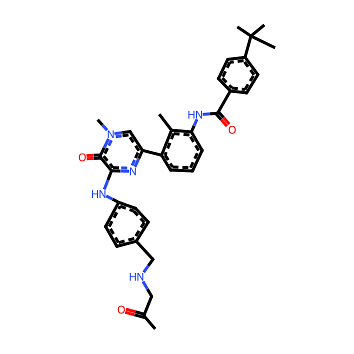 CC(=O)CNCc1ccc(Nc2nc(-c3cccc(NC(=O)c4ccc(C(C)(C)C)cc4)c3C)cn(C)c2=O)cc1